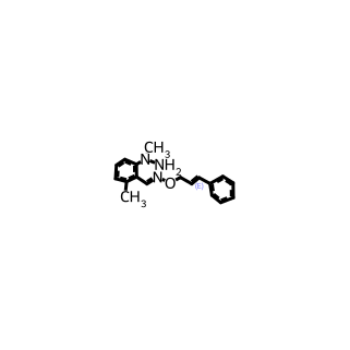 Cc1cccc(N(C)N)c1C=NOC/C=C/c1ccccc1